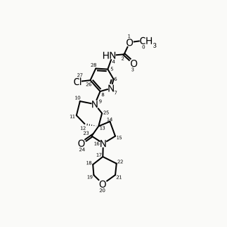 COC(=O)Nc1cnc(N2CCC[C@@]3(CCN(C4CCOCC4)C3=O)C2)c(Cl)c1